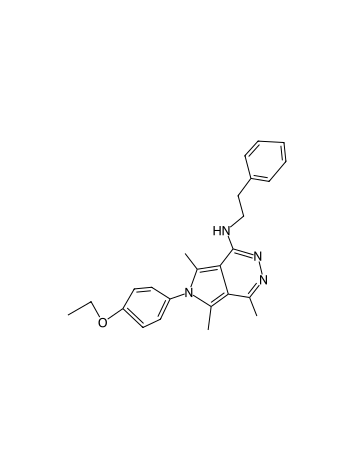 CCOc1ccc(-n2c(C)c3c(C)nnc(NCCc4ccccc4)c3c2C)cc1